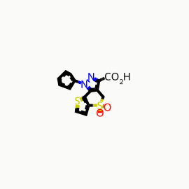 O=C(O)c1nn(-c2ccccc2)c2c1CS(=O)(=O)c1ccsc1-2